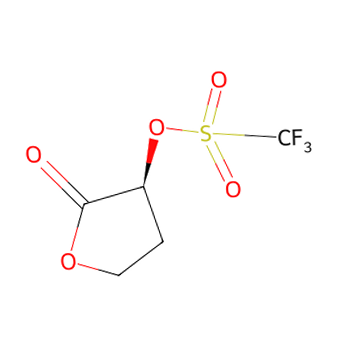 O=C1OCC[C@@H]1OS(=O)(=O)C(F)(F)F